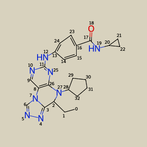 CCC1c2nncn2-c2cnc(Nc3ccc(C(=O)NC4CC4)cc3)nc2N1C1CCCC1